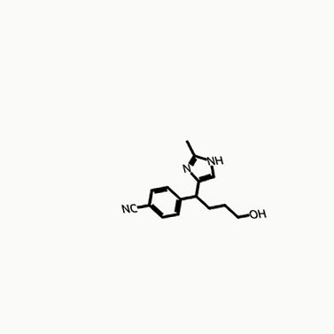 Cc1nc(C(CCCO)c2ccc(C#N)cc2)c[nH]1